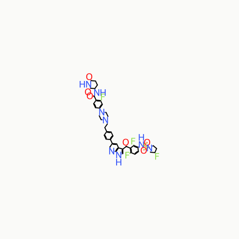 O=C1CC[C@H](NC(=O)c2ccc(N3CCN(CCc4ccc(-c5cnc6[nH]cc(C(=O)c7c(F)ccc(NS(=O)(=O)N8CC[C@@H](F)C8)c7F)c6c5)cc4)CC3)cc2F)C(=O)N1